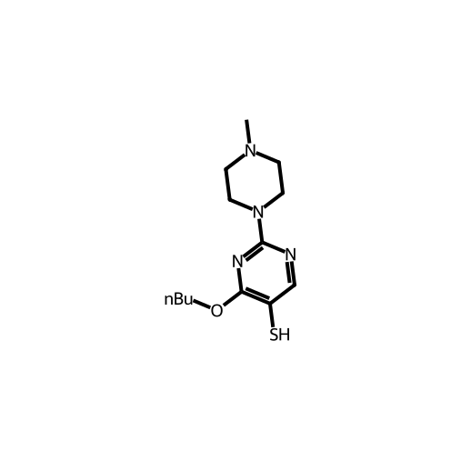 CCCCOc1nc(N2CCN(C)CC2)ncc1S